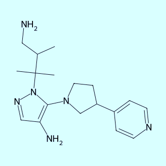 CC(CN)C(C)(C)n1ncc(N)c1N1CCC(c2ccncc2)C1